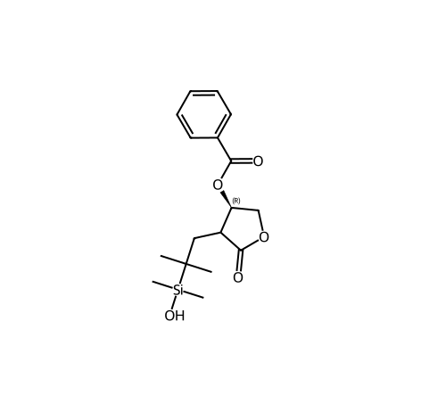 CC(C)(CC1C(=O)OC[C@@H]1OC(=O)c1ccccc1)[Si](C)(C)O